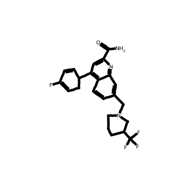 NC(=O)c1cc(C2C=CC(F)=CC2)c2ccc(CN3CCCC(C(F)(F)F)C3)cc2n1